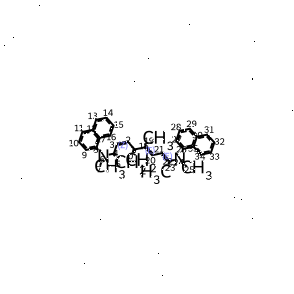 C=C(/C=C\C(=C)N(C)c1cccc2ccccc12)/C(C)=C/C=C(\C)N(C)c1cccc2ccccc12